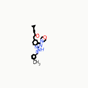 Cc1cccc(/C=N/Nc2nc3c(c(N4CCOCC4)n2)CC(CC(=O)C#CC2CC2)CC3)c1